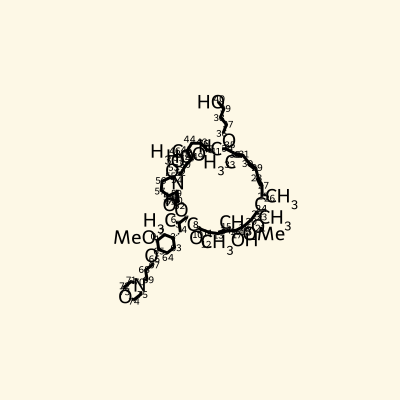 CO[C@@H]1C[C@H](C[C@@H](C)[C@@H]2CC(=O)[C@H](C)/C=C(\C)[C@@H](O)[C@@H](OC)C(=O)[C@H](C)C[C@H](C)/C=C/C=C/C=C(\C)[C@H](OCCCCO)C[C@@H]3CC[C@@H](C)[C@@](O)(O3)C(=O)C(=O)N3CCCC[C@H]3C(=O)O2)CC[C@H]1OCCCN1CCOCC1